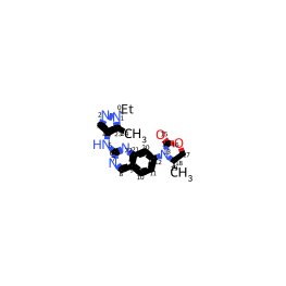 CCn1ncc(Nc2ncc3ccc(N4C(=O)OC[C@@H]4C)cc3n2)c1C